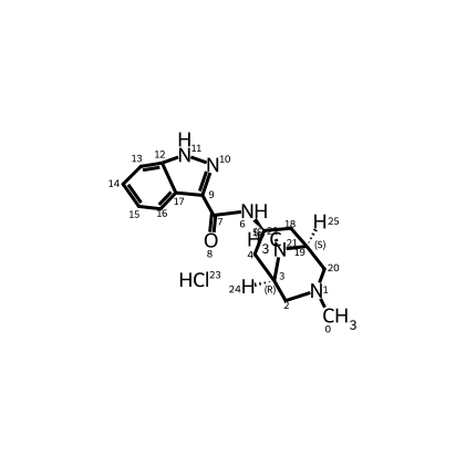 CN1C[C@H]2C[C@@H](NC(=O)c3n[nH]c4ccccc34)C[C@@H](C1)N2C.Cl